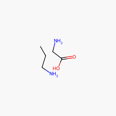 CCCN.NCC(=O)O